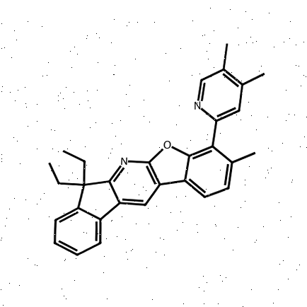 CCC1(CC)c2ccccc2-c2cc3c(nc21)oc1c(-c2cc(C)c(C)cn2)c(C)ccc13